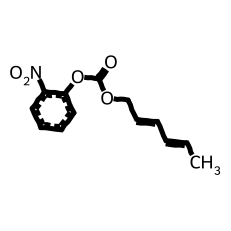 CC=CC=CCOC(=O)Oc1ccccc1[N+](=O)[O-]